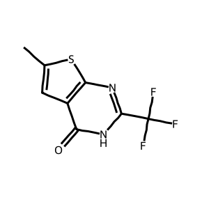 Cc1cc2c(=O)[nH]c(C(F)(F)F)nc2s1